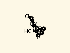 CC(C)(C)[Si](OCCC1CN(S(=O)(=O)c2cc3ccc(Cl)cc3s2)CCN1c1ncc(-c2ccncc2)cn1)(c1ccccc1)c1ccccc1.Cl